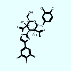 CC(=O)[C@@]1(O)[C@@H](c2nc(-c3cc(F)c(F)c(F)c3)cs2)[C@](O)(C(C)=O)[C@@H](CO)O[C@@H]1Sc1ccc(Cl)c(Cl)c1